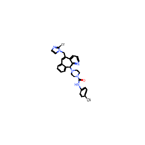 CCc1nccn1CC1=Cc2ccccc2C(N2CCN(C(=O)Nc3ccc(C#N)cc3)CC2)c2ncccc21